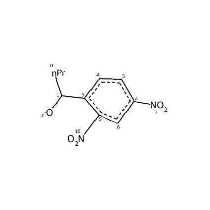 CCCC([O])c1ccc([N+](=O)[O-])cc1[N+](=O)[O-]